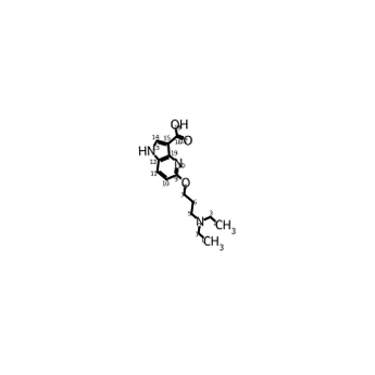 CCN(CC)CCCOc1ccc2[nH]cc(C(=O)O)c2n1